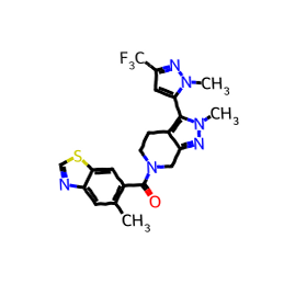 Cc1cc2ncsc2cc1C(=O)N1CCc2c(nn(C)c2-c2cc(C(F)(F)F)nn2C)C1